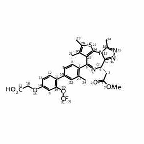 COC(=O)C[C@@H]1N=C(c2ccc(-c3ccc(OCC(=O)O)cc3OC(F)(F)F)cc2C)c2c(sc(C)c2C)-n2c(C)nnc21